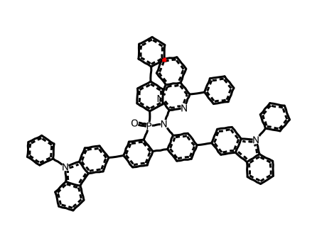 O=P1(c2ccc(-c3ccccc3)cc2)c2cc(-c3ccc4c(c3)c3ccccc3n4-c3ccccc3)ccc2-c2ccc(-c3ccc4c(c3)c3ccccc3n4-c3ccccc3)cc2N1c1nc(-c2ccccc2)c2ccccc2n1